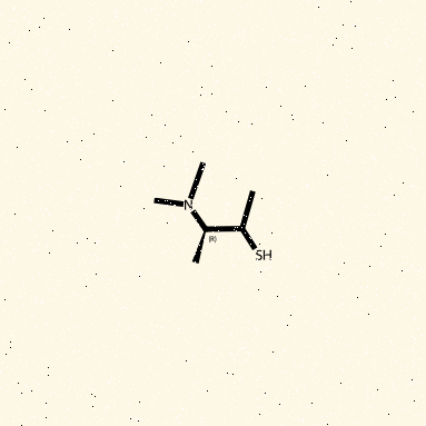 CC(S)[C@@H](C)N(C)C